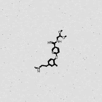 CNCCc1ccc(Oc2ccc(C(=N)NCC(OC)OC)cn2)c(C)c1